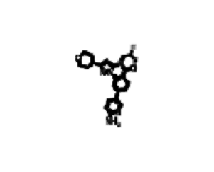 Nc1ccc(-c2ccc3c(=O)n(CC(F)F)c4cc(C5CCOCC5)nn4c3c2)cn1